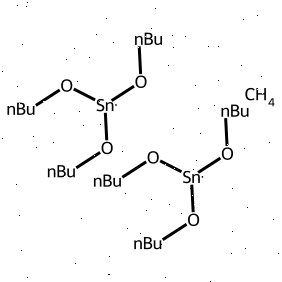 C.CCCC[O][Sn]([O]CCCC)[O]CCCC.CCCC[O][Sn]([O]CCCC)[O]CCCC